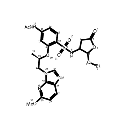 CCOC1OC(=O)CC1NS(=O)(=O)c1ccc(NC(C)=O)cc1O[C@H](C)Cn1cnc2ccc(OC)nc21